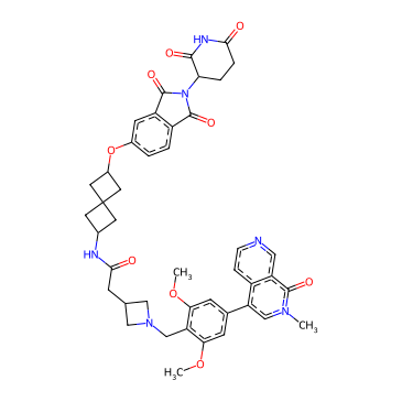 COc1cc(-c2cn(C)c(=O)c3cnccc23)cc(OC)c1CN1CC(CC(=O)NC2CC3(C2)CC(Oc2ccc4c(c2)C(=O)N(C2CCC(=O)NC2=O)C4=O)C3)C1